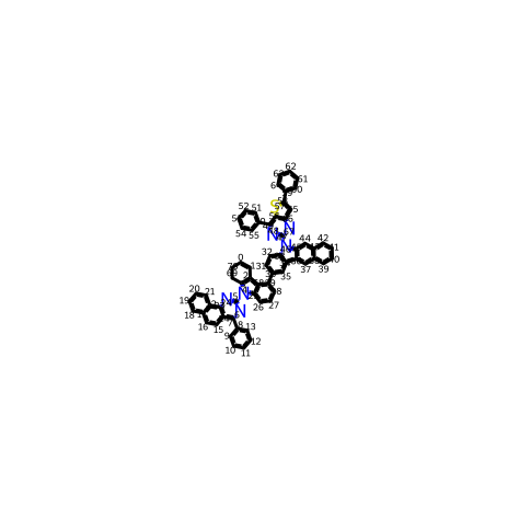 C1=Cc2c(n(-c3nc(-c4ccccc4)c4ccc5ccccc5c4n3)c3cccc(-c4ccc5c(c4)c4cc6ccccc6cc4n5-c4nc(-c5ccccc5)c5sc(-c6ccccc6)cc5n4)c23)CC1